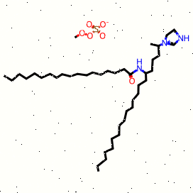 CCCCCCCCCCCCCCCCCC(=O)NC(CCCCCCCCCCCCCCC)CCCC(C)[N+]1=CNCC1.COOS(=O)(=O)[O-]